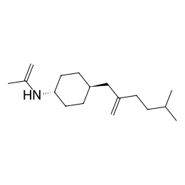 C=C(CCC(C)C)C[C@H]1CC[C@H](NC(=C)C)CC1